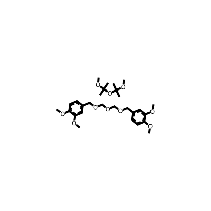 COC(C)(C)OC(C)(C)OC.COc1ccc(COCOCOCc2ccc(OC)c(OC)c2)cc1OC